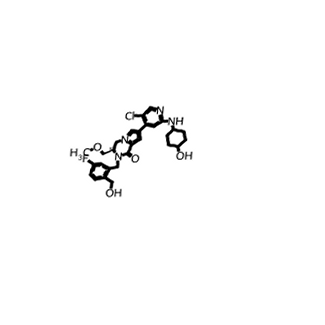 COC[C@H]1Cn2cc(-c3cc(NC4CCC(O)CC4)ncc3Cl)cc2C(=O)N1Cc1cc(F)ccc1CO